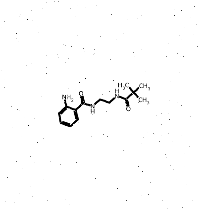 CC(C)(C)C(=O)NCCNC(=O)c1ccccc1N